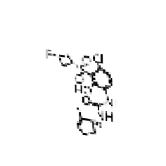 CC1=CCC[C@H]1NC(=O)Nc1ccc(Cl)c(S(=O)(=O)[C@H]2C[C@H](F)C2)c1O